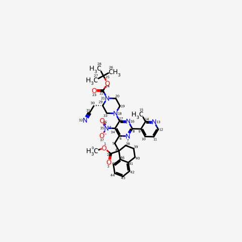 COC(=O)C1(Cc2nc(-c3cccnc3C)nc(N3CCN(C(=O)OC(C)(C)C)[C@@H](CC#N)C3)c2[N+](=O)[O-])CCCc2ccccc21